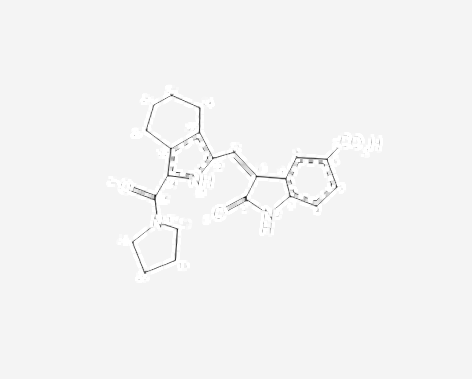 O=C1Nc2ccc(C(=O)O)cc2/C1=C/c1[nH]c(C(=O)N2CCCC2)c2c1CCCC2